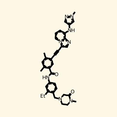 CCc1cc(NC(=O)c2cc(C#Cc3cnc4c(Nc5cnn(C)c5)cccn34)c(C)cc2C)ccc1CN1CCN(C)C(=O)C1